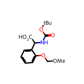 COCOc1ccccc1C(NC(=O)OC(C)(C)C)C(=O)O